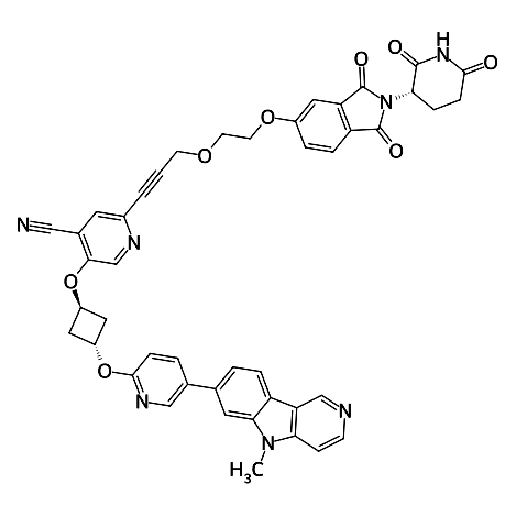 Cn1c2ccncc2c2ccc(-c3ccc(O[C@H]4C[C@H](Oc5cnc(C#CCOCCOc6ccc7c(c6)C(=O)N([C@H]6CCC(=O)NC6=O)C7=O)cc5C#N)C4)nc3)cc21